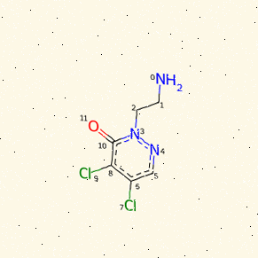 NCCn1ncc(Cl)c(Cl)c1=O